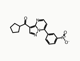 O=C(c1cnn2c(-c3cccc([N+](=O)[O-])c3)ccnc12)C1CCCC1